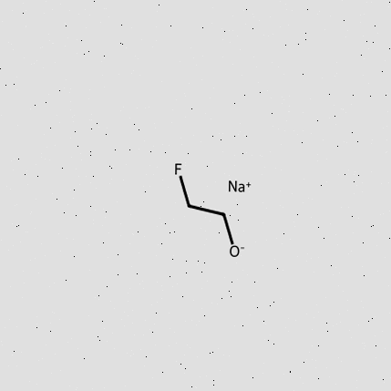 [Na+].[O-]CCF